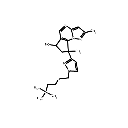 Cc1cc2ncc3c(n2n1)C(C)(c1ccn(COCC[Si](C)(C)C)n1)CC3C#N